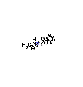 CC(=O)N/C=C/CC(=O)Oc1ccccc1